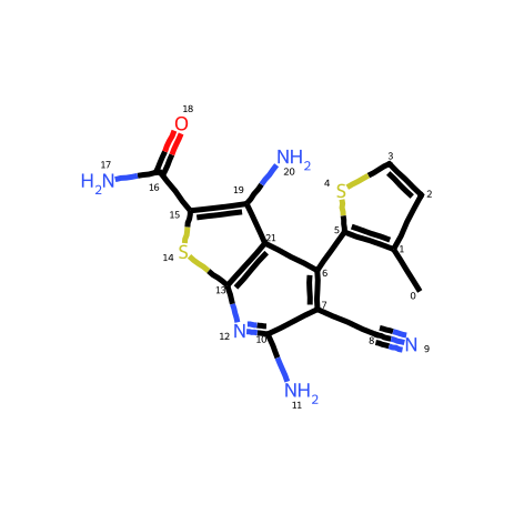 Cc1ccsc1-c1c(C#N)c(N)nc2sc(C(N)=O)c(N)c12